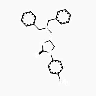 Nc1ccc(N2C[C@@H](CN(Cc3ccccc3)Cc3ccccc3)OC2=O)cc1